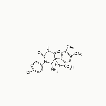 CC(=O)Oc1ccc(C2(NC(=O)O)C(=O)N(C)C(=O)N(c3ccc(Cl)cc3)C2N)cc1OC(C)=O